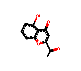 CC(=O)c1cc(=O)c2c(O)cccc2o1